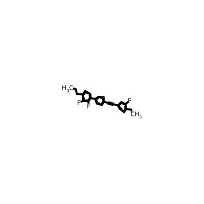 CCCc1ccc(-c2ccc(C#Cc3ccc(CC)c(F)c3)cc2)c(F)c1F